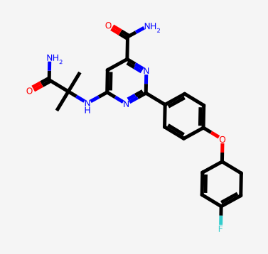 CC(C)(Nc1cc(C(N)=O)nc(-c2ccc(OC3C=CC(F)=CC3)cc2)n1)C(N)=O